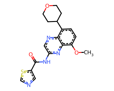 COc1ccc(C2CCOCC2)c2ncc(NC(=O)c3cncs3)nc12